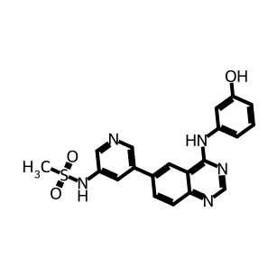 CS(=O)(=O)Nc1cncc(-c2ccc3ncnc(Nc4cccc(O)c4)c3c2)c1